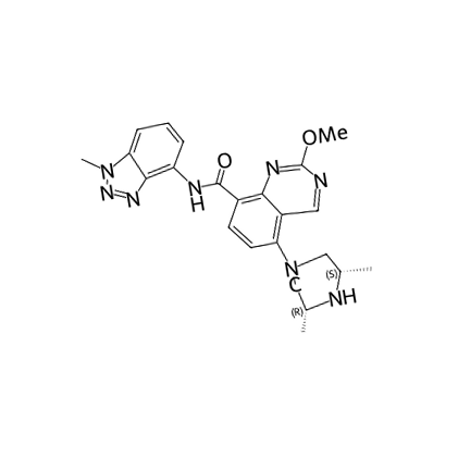 COc1ncc2c(N3C[C@@H](C)N[C@@H](C)C3)ccc(C(=O)Nc3cccc4c3nnn4C)c2n1